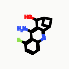 Nc1c2c(nc3cccc(F)c13)C1CC(C1)C2O